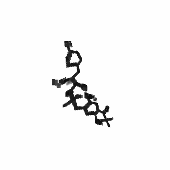 CC(C)(Cc1cc(O)c(C(=O)C(C)(C)C)cc1N)OC(=O)[C@@H](N)Cc1ccc(O)cc1